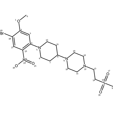 COc1cc(N2CCC(N3CCN(CCS(C)(=O)=O)CC3)CC2)c([N+](=O)[O-])cc1Br